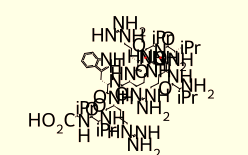 CC(C)[C@H](N)C(=O)N[C@@H](CCCNC(=N)N)C(=O)N[C@H](C(=O)N[C@H](C(=O)N[C@@H](CCCNC(=N)N)C(=O)N[C@@H](CCCNC(=N)N)C(=O)N[C@@H](Cc1c[nH]c2ccccc12)C(=O)N[C@@H](CCCNC(=N)N)C(=O)N[C@H](C(=O)N[C@H](C(=O)O)C(C)C)C(C)C)C(C)C)C(C)C